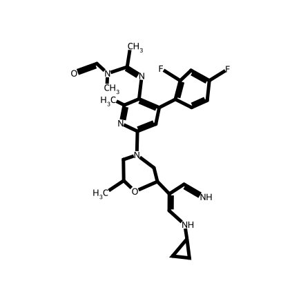 C/C(=N/c1c(-c2ccc(F)cc2F)cc(N2CC(C)OC(/C(C=N)=C/NC3CC3)C2)nc1C)N(C)C=O